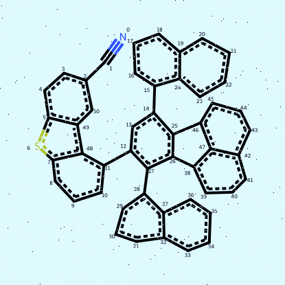 N#Cc1ccc2sc3cccc(-c4cc(-c5cccc6ccccc56)c5c(c4-c4cccc6ccccc46)-c4cccc6cccc-5c46)c3c2c1